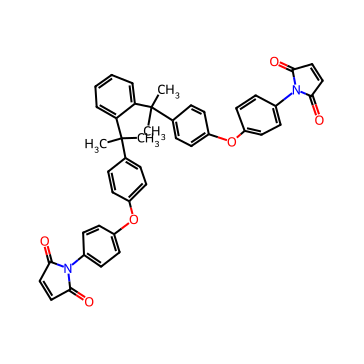 CC(C)(c1ccc(Oc2ccc(N3C(=O)C=CC3=O)cc2)cc1)c1ccccc1C(C)(C)c1ccc(Oc2ccc(N3C(=O)C=CC3=O)cc2)cc1